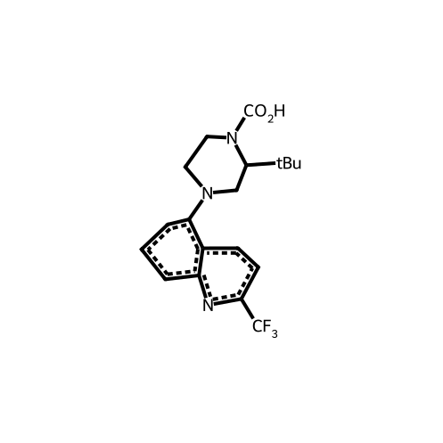 CC(C)(C)C1CN(c2cccc3nc(C(F)(F)F)ccc23)CCN1C(=O)O